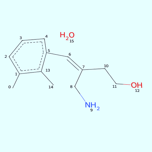 Cc1cccc(C=C(CN)CCO)c1C.O